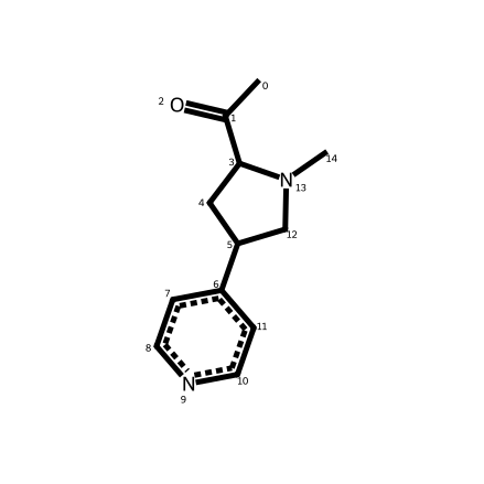 CC(=O)C1CC(c2ccncc2)CN1C